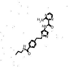 CCCNC(=O)c1ccc(CCn2cc(NC(=O)c3nccnc3N)cn2)cc1